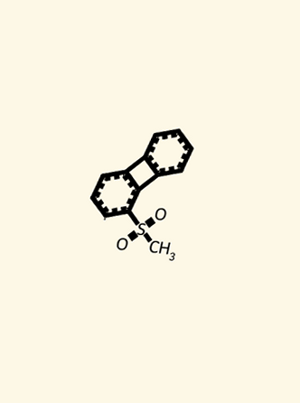 CS(=O)(=O)c1[c]ccc2c1-c1ccccc1-2